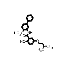 CN(C)CCOc1ccc(O)c(C(=O)Nc2cc(-c3ccccc3)ccc2C(=O)O)c1